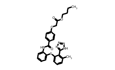 CCCCOC(=O)COc1ccc(C(=O)Nc2ccccc2Sc2cccc(C)c2-c2nnn[nH]2)cc1